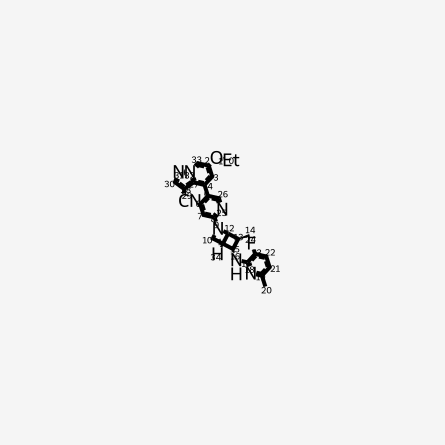 CCOc1cc(-c2ccc(N3C[C@@H]4C3[C@@H](C)[C@@H]4Nc3nc(C)ccc3F)nc2)c2c(C#N)cnn2c1